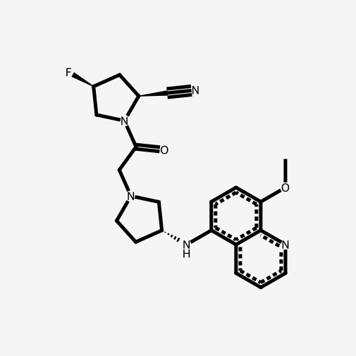 COc1ccc(N[C@@H]2CCN(CC(=O)N3C[C@@H](F)C[C@H]3C#N)C2)c2cccnc12